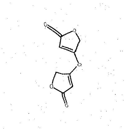 O=C1C=C(OC2=CC(=O)OC2)CO1